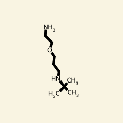 CC(C)(C)NCCCOCCN